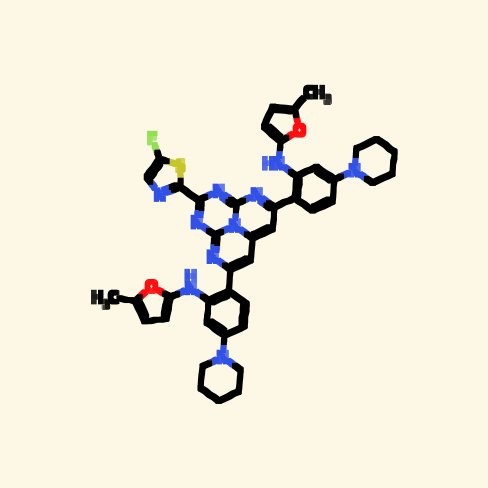 Cc1ccc(Nc2cc(N3CCCCC3)ccc2C2=CC3=CC(c4ccc(N5CCCCC5)cc4Nc4ccc(C)o4)=NC4=NC(c5ncc(F)s5)=NC(=N2)N34)o1